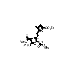 CCOC(=O)c1cc(C)c(CC[C@H](CNC(=O)OC(C)(C)C)SC(C(=O)OC)C(=O)OC)s1